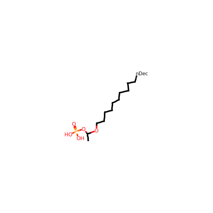 CCCCCCCCCCCCCCCCCCCCOC(C)OP(=O)(O)O